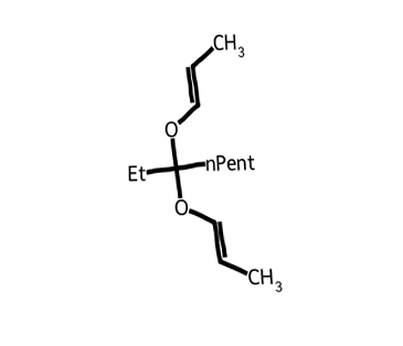 CC=COC(CC)(CCCCC)OC=CC